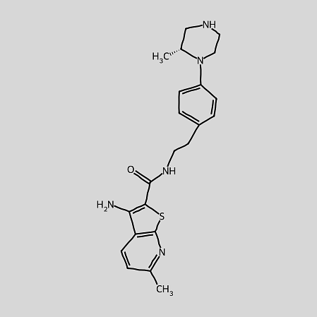 Cc1ccc2c(N)c(C(=O)NCCc3ccc(N4CCNC[C@H]4C)cc3)sc2n1